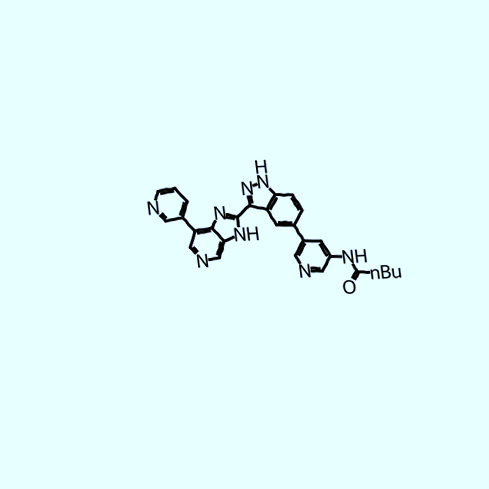 CCCCC(=O)Nc1cncc(-c2ccc3[nH]nc(-c4nc5c(-c6cccnc6)cncc5[nH]4)c3c2)c1